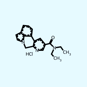 CCN(CC)C(=O)c1cnc2c(c1)-c1cccc3ccn(c13)C2.Cl